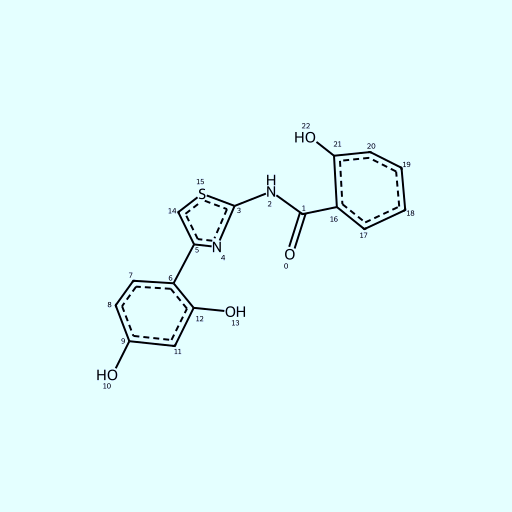 O=C(Nc1nc(-c2ccc(O)cc2O)cs1)c1ccccc1O